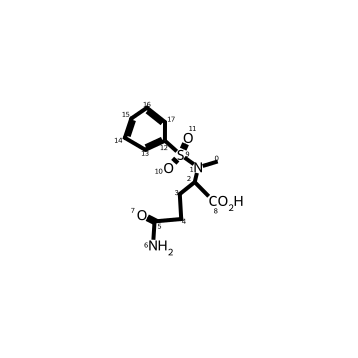 CN(C(CCC(N)=O)C(=O)O)S(=O)(=O)c1ccccc1